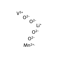 [Li+].[Mn+2].[O-2].[O-2].[O-2].[O-2].[V+5]